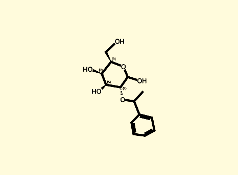 CC(O[C@H]1C(O)O[C@H](CO)[C@H](O)[C@@H]1O)c1ccccc1